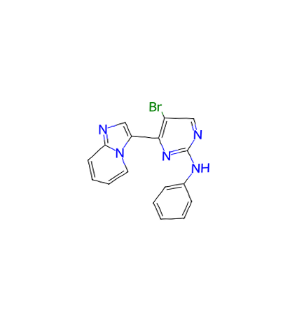 Brc1cnc(Nc2ccccc2)nc1-c1cnc2ccccn12